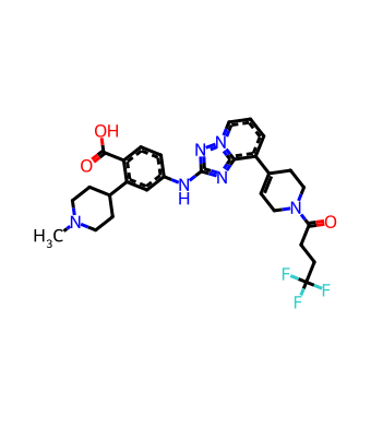 CN1CCC(c2cc(Nc3nc4c(C5=CCN(C(=O)CCC(F)(F)F)CC5)cccn4n3)ccc2C(=O)O)CC1